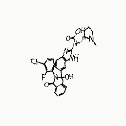 CN1CCC[C@H]1CN(C(=O)O)c1nc2ccc(C3(O)c4ccccc4C(=O)N3c3cccc(Cl)c3F)cc2[nH]1